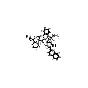 CC(C)(C)OC(=O)C1CCCCN1C(=O)[C@@H](O)[C@H](Cc1ccccc1)NC(=O)[C@H](CC(N)=O)NC(=O)c1ccc2ccccc2n1